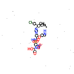 CC1(C)CCC(CN2CCN(c3ccc(C(=O)NS(=O)(=O)c4ccc(NC(CO)C5CCOCC5)c([N+](=O)[O-])c4)c(Oc4ccc5[nH]ccc5c4)c3)CC2)=C(c2ccc(Cl)cc2)C1